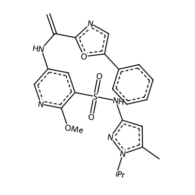 C=C(Nc1cnc(OC)c(S(=O)(=O)Nc2cc(C)n(C(C)C)n2)c1)c1ncc(-c2ccccc2)o1